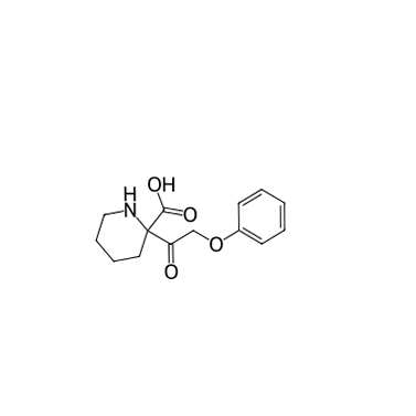 O=C(O)C1(C(=O)COc2ccccc2)CCCCN1